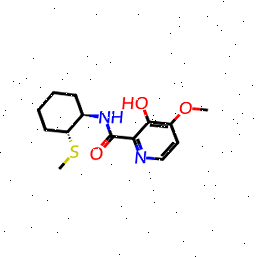 COc1ccnc(C(=O)N[C@@H]2CCCC[C@H]2SC)c1O